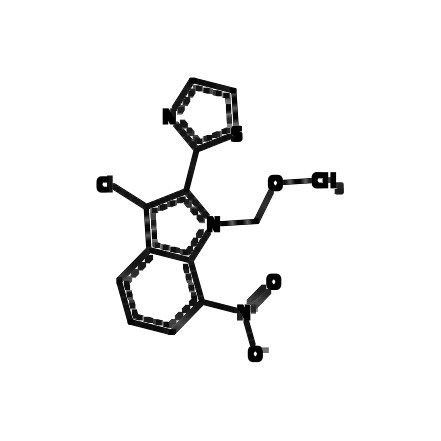 COCn1c(-c2nccs2)c(Cl)c2cccc([N+](=O)[O-])c21